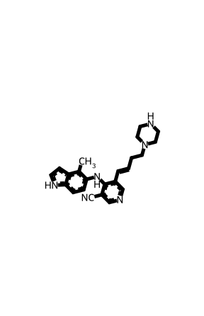 Cc1c(Nc2c(C#N)cncc2/C=C/CCN2CCNCC2)ccc2[nH]ccc12